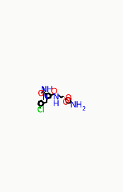 CNC(=O)c1cc(C(=O)NCCC[C@H]2OC[C@H](N)CO2)cc(Cc2cccc(Cl)c2)n1